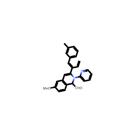 C=CC(=Cc1cccc(C)c1)C1=Cc2cc(OC)ccc2C(C=O)N1c1ccccn1